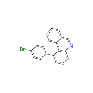 Brc1ccc(-c2cccc3ncc4ccccc4c23)cc1